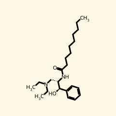 CCCCCCCCCC(=O)N[C@@H](CN(CC)CC)[C@H](O)c1ccccc1